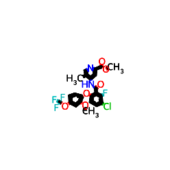 COC(=O)c1cc(NC(=O)c2c(Oc3ccc(OC(F)(F)F)cc3OC)ccc(Cl)c2F)c(C)cn1